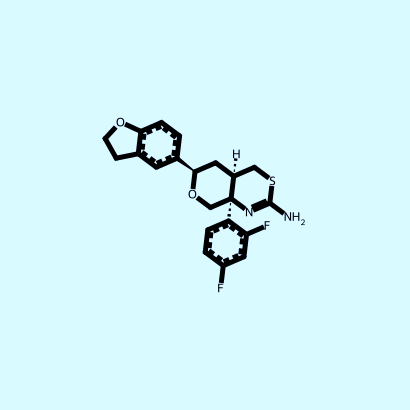 NC1=N[C@@]2(c3ccc(F)cc3F)CO[C@@H](c3ccc4c(c3)CCO4)C[C@H]2CS1